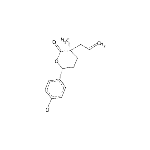 C=CC[C@@]1(C)CC[C@H](c2ccc(Cl)cc2)OC1=O